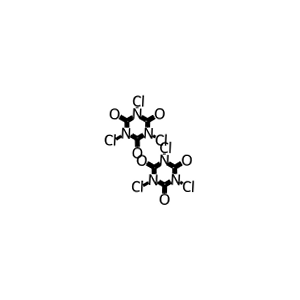 O=c1n(Cl)c(=O)n(Cl)c(=O)n1Cl.O=c1n(Cl)c(=O)n(Cl)c(=O)n1Cl